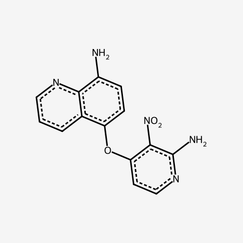 Nc1nccc(Oc2ccc(N)c3ncccc23)c1[N+](=O)[O-]